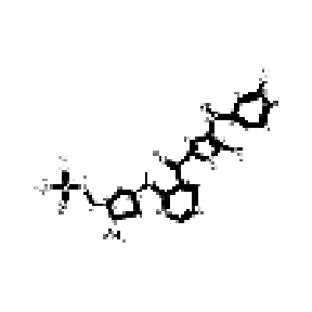 C[C@H]1C[C@H](Nc2ncncc2C(=O)c2cc([S+]([O-])c3cccc(Cl)c3)c(Cl)s2)C[C@@H]1COS(N)(=O)=O